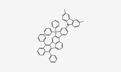 Cc1ccc2c(c1)c1cc(C)ccc1n2-c1ccc2c(c1)C(c1ccccc1)(c1ccccc1)c1cc3c4c(cccc4c1-2)-c1c-3c(-c2ccccc2)c2ccccc2c1-c1ccccc1